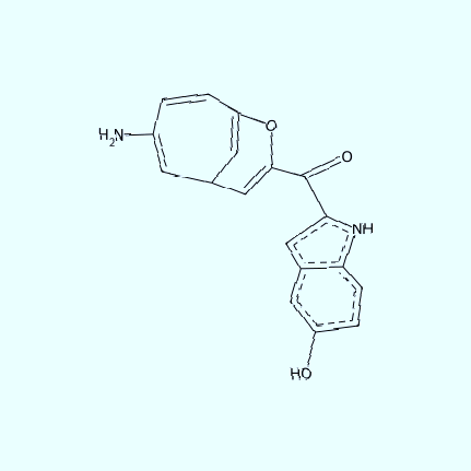 NC1=CC2C=C(C=C1)OC(C(=O)c1cc3cc(O)ccc3[nH]1)=C2